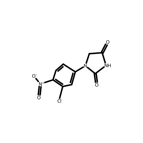 O=C1CN(c2ccc([N+](=O)[O-])c(Cl)c2)C(=O)N1